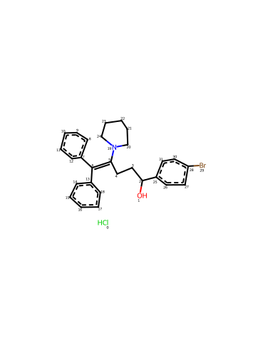 Cl.OC(CCC(=C(c1ccccc1)c1ccccc1)N1CCCCC1)c1ccc(Br)cc1